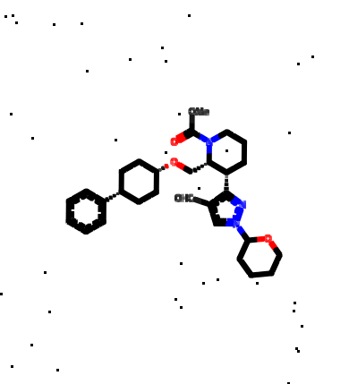 COC(=O)N1CCC[C@H](c2nn(C3CCCCO3)cc2C=O)[C@@H]1CO[C@H]1CC[C@@H](c2ccccc2)CC1